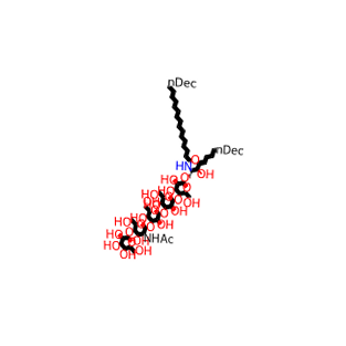 CCCCCCCCCCCCC/C=C/[C@@H](O)[C@H](CO[C@@H]1OC(CO)[C@@H](O[C@@H]2OC(CO)[C@H](O)[C@H](O[C@H]3OC(CO)[C@H](O)[C@H](O[C@@H]4OC(CO)[C@@H](O[C@@H]5OC(CO)[C@H](O)[C@H](O)C5O)[C@H](O)C4NC(C)=O)C3O)C2O)[C@H](O)C1O)NC(=O)CCCCCCCCCCCCCCCCCCCCCCCCC